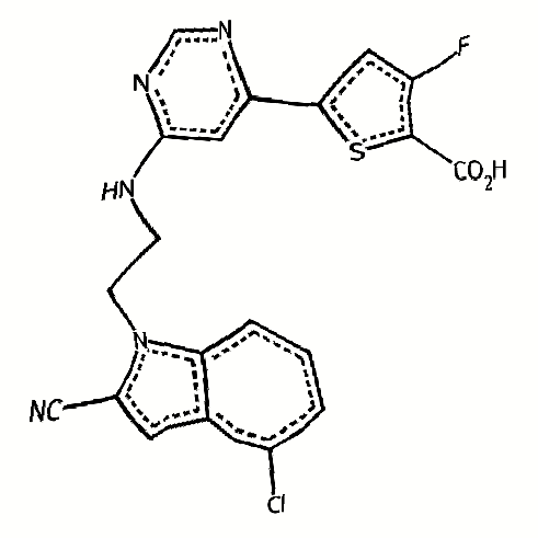 N#Cc1cc2c(Cl)cccc2n1CCNc1cc(-c2cc(F)c(C(=O)O)s2)ncn1